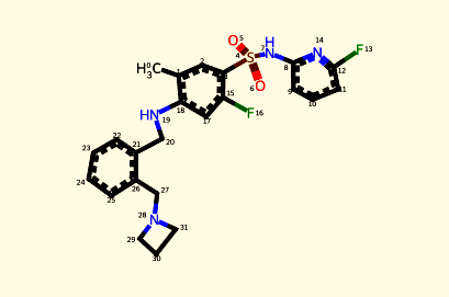 Cc1cc(S(=O)(=O)Nc2cccc(F)n2)c(F)cc1NCc1ccccc1CN1CCC1